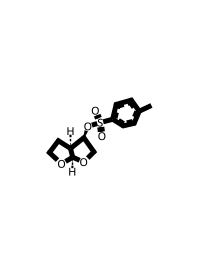 Cc1ccc(S(=O)(=O)O[C@H]2CO[C@H]3OCC[C@H]32)cc1